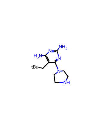 CC(C)(C)Cc1c(N)nc(N)nc1N1CCNCC1